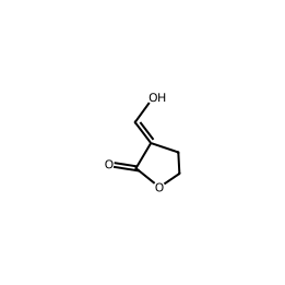 O=C1OCCC1=CO